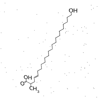 CC(CC=CCCCCCCCCCCCCCCCCCCO)C(=O)O